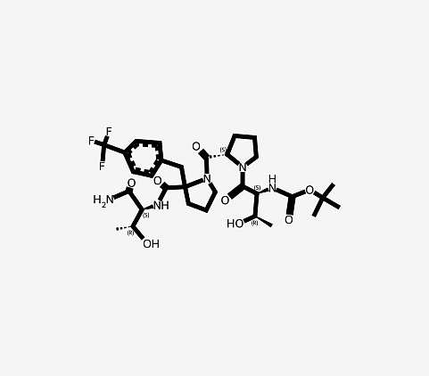 C[C@@H](O)[C@H](NC(=O)C1(Cc2ccc(C(F)(F)F)cc2)CCCN1C(=O)[C@@H]1CCCN1C(=O)[C@@H](NC(=O)OC(C)(C)C)[C@@H](C)O)C(N)=O